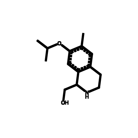 Cc1cc2c(cc1OC(C)C)C(CO)NCC2